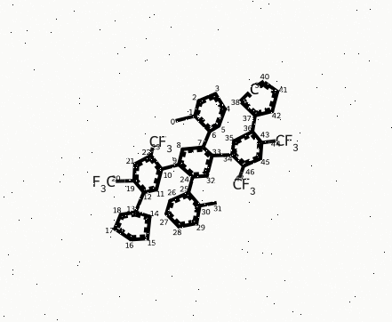 Cc1ccccc1-c1cc(-c2cc(-c3ccccc3)c(C(F)(F)F)cc2C(F)(F)F)c(-c2ccccc2C)cc1-c1cc(-c2ccccc2)c(C(F)(F)F)cc1C(F)(F)F